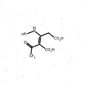 CCCNC(CC(=O)O)=C(C(=O)O)C(=O)C(F)(F)F